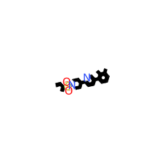 C=CC(=C)S(=O)(=O)N1CCC(c2ccc(-c3cccc(C)c3C)cn2)CC1